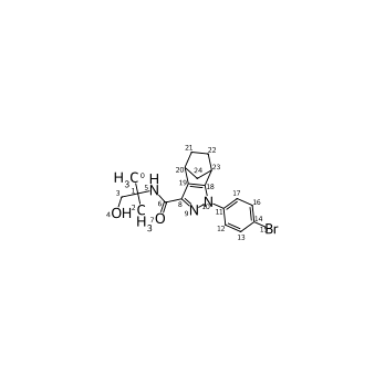 CC(C)(CO)NC(=O)c1nn(-c2ccc(Br)cc2)c2c1C1CCC2C1